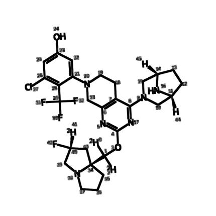 [2H]C([2H])(Oc1nc2c(c(N3C[C@H]4CC[C@@H](C3)N4)n1)CCN(c1cc(O)cc(Cl)c1C(F)(F)F)C2)[C@@]12CCCN1C[C@]([2H])(F)C2